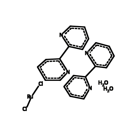 O.O.[Cl][Ru][Cl].c1ccc(-c2ccccn2)nc1.c1ccc(-c2ccccn2)nc1